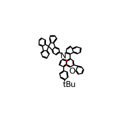 CC(C)(C)c1ccc(-c2ccc(N(c3ccc4c(c3)-c3ccccc3C43c4ccccc4-c4ccccc43)c3ccc4ccccc4c3-c3ccc4oc5ccccc5c4c3)cc2)cc1